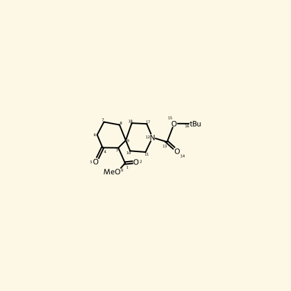 COC(=O)C1C(=O)CCCC12CCN(C(=O)OC(C)(C)C)CC2